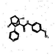 O=C(Nc1ccc(OC(F)(F)F)cc1)[C@H]1[C@H](c2ccncc2)[C@@H]2CC[C@@H]1O2